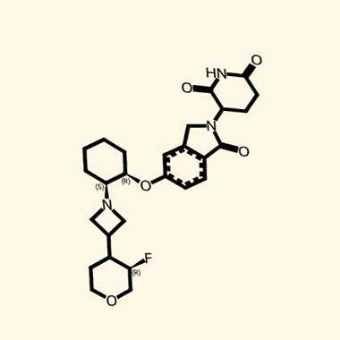 O=C1CCC(N2Cc3cc(O[C@@H]4CCCC[C@@H]4N4CC(C5CCOC[C@@H]5F)C4)ccc3C2=O)C(=O)N1